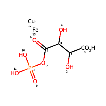 O=C(O)C(O)C(O)C(=O)OP(=O)(O)O.[Cu].[Fe]